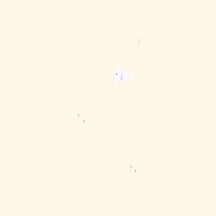 O=C(NOc1ccc([N+](=O)[O-])cc1[N+](=O)[O-])C(F)(F)F